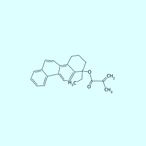 C=C(C)C(=O)OC1(CC)CCCc2c1ccc1c2ccc2ccccc21